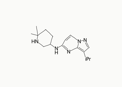 CC(C)c1cnn2ccc(NC3CCC(C)(C)NC3)nc12